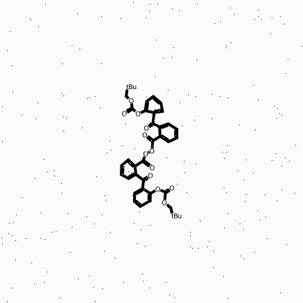 CC(C)(C)COC(=O)Oc1ccccc1C(=O)c1ccccc1C(=O)OOC(=O)c1ccccc1C(=O)c1ccccc1OC(=O)OCC(C)(C)C